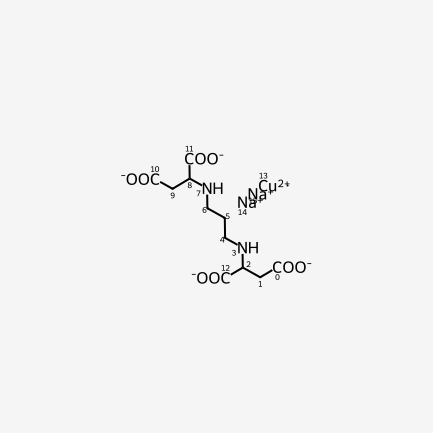 O=C([O-])CC(NCCCNC(CC(=O)[O-])C(=O)[O-])C(=O)[O-].[Cu+2].[Na+].[Na+]